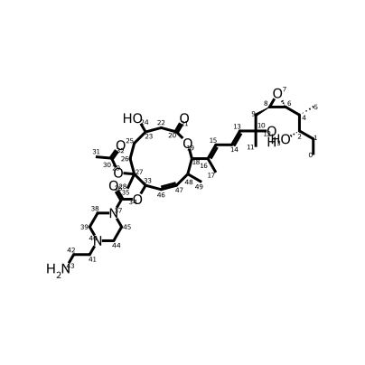 CC[C@H](O)[C@@H](C)[C@H]1O[C@@H]1CC(C)(O)/C=C/C=C(\C)C1OC(=O)CC(O)CCC(C)(OC(C)=O)C(OC(=O)N2CCN(CCN)CC2)C=CC1C